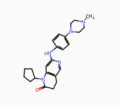 CN1CCN(c2ccc(Nc3cc4c(cn3)CCC(=O)N4C3CCCC3)cc2)CC1